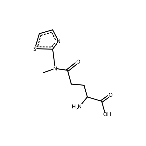 CN(C(=O)CCC(N)C(=O)O)c1nccs1